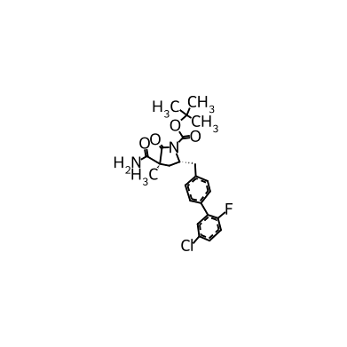 CC(C)(C)OC(=O)N1C(=O)[C@](C)(C(N)=O)C[C@H]1Cc1ccc(-c2cc(Cl)ccc2F)cc1